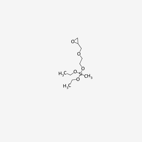 CCO[Si](C)(OCC)OCCOCC1CO1